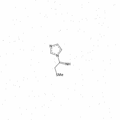 CSCC(=N)n1ccnc1